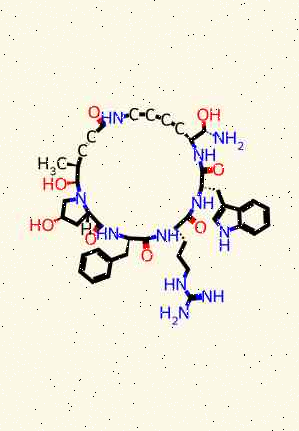 C[C@H]1CCC(=O)NCCCC[C@@H]([C@@H](N)O)NC(=O)[C@H](Cc2c[nH]c3ccccc23)NC(=O)[C@H](CCCNC(=N)N)NC(=O)[C@@H](Cc2ccccc2)NC(=O)[C@@H]2C[C@@H](O)CN2[C@H]1O